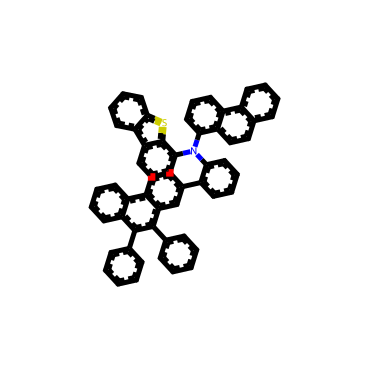 c1ccc(-c2c(-c3ccccc3)c3cc(-c4ccccc4N(c4cccc5c4ccc4ccccc45)c4cccc5c4sc4ccccc45)ccc3c3ccccc23)cc1